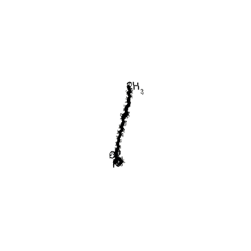 CCCCCC=CCC=CCC=CCCCCCCCOC(=O)c1cccnc1